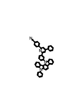 N#Cc1ccc(-c2cc(-c3ccccc3)cc(-c3cccc(-n4c5ccccc5c5ccc6c(c7ccccc7n6-c6ccccc6)c54)c3)n2)cc1